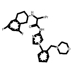 CCCC(N[C@H]1CCc2cc(F)cc(F)c2C1)C(=O)Nc1cn(-c2ccccc2CN2CCOCC2)cn1